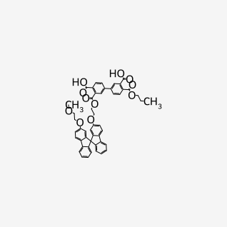 CCCOC(=O)c1ccc(-c2ccc(C(=O)O)c(C(=O)OCCOc3ccc4c(c3)C3(c5ccccc5-c5ccc(OCCOC)cc53)c3ccccc3-4)c2)cc1C(=O)O